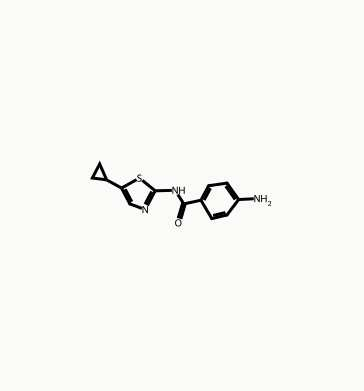 Nc1ccc(C(=O)Nc2ncc(C3CC3)s2)cc1